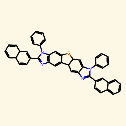 C1=CC2C=CC(c3nc4cc5c(cc4n3-c3ccccc3)SC3C=c4c(nc(-c6ccc7ccccc7c6)n4-c4ccccc4)=CC53)=CC2C=C1